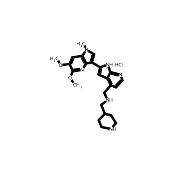 COc1cc2c(nc1OC)c(-c1cc3c(CNCC4CCNCC4)ccnc3[nH]1)cn2C.Cl